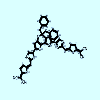 N#CC(C#N)=c1cc/c(=C\c2ncc(-c3cc4c(s3)-c3sc(-c5cnc(/C=c6\ccc(=C(C#N)C#N)s6)s5)cc3C(Cc3ccccc3)(Cc3ccccc3)O4)s2)s1